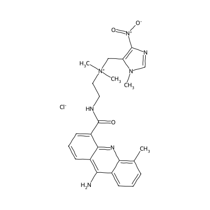 Cc1cccc2c(N)c3cccc(C(=O)NCC[N+](C)(C)Cc4c([N+](=O)[O-])ncn4C)c3nc12.[Cl-]